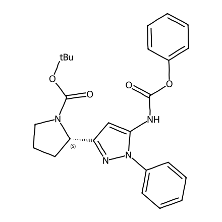 CC(C)(C)OC(=O)N1CCC[C@H]1c1cc(NC(=O)Oc2ccccc2)n(-c2ccccc2)n1